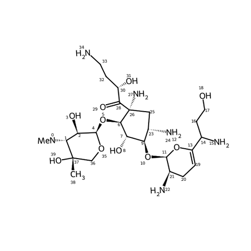 CN[C@@H]1[C@@H](O)[C@@H](O[C@@H]2[C@@H](O)[C@H](O[C@H]3OC(C(N)CCO)=CC[C@H]3N)[C@@H](N)C[C@]2(N)C(=O)[C@@H](O)CCN)OC[C@]1(C)O